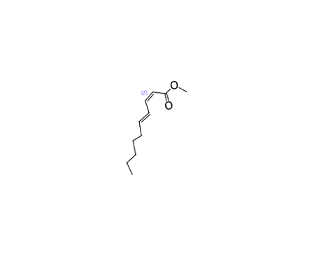 CCCCCC=C/C=C\C(=O)OC